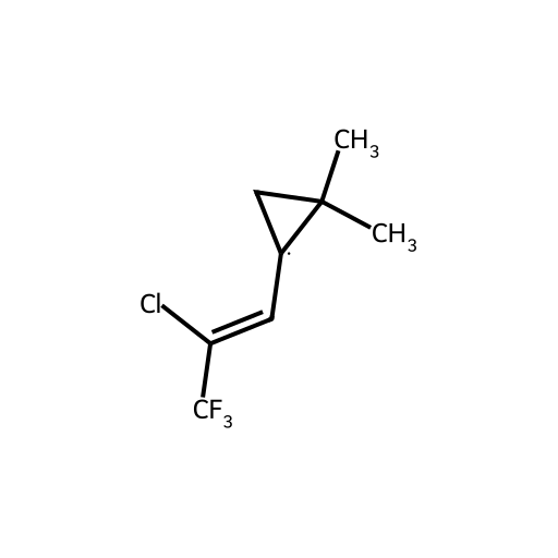 CC1(C)C[C]1C=C(Cl)C(F)(F)F